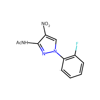 CC(=O)Nc1nn(-c2[c]cccc2F)cc1[N+](=O)[O-]